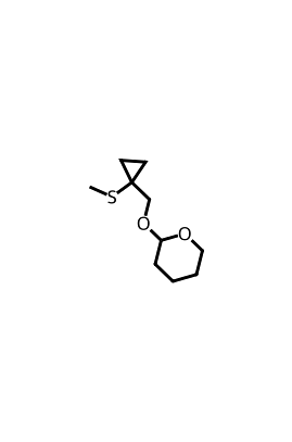 CSC1(COC2CCCCO2)CC1